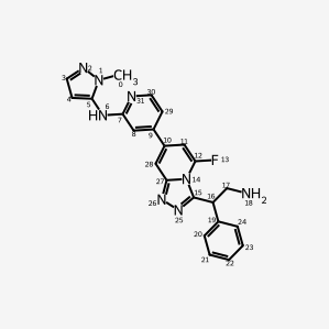 Cn1nccc1Nc1cc(-c2cc(F)n3c(C(CN)c4ccccc4)nnc3c2)ccn1